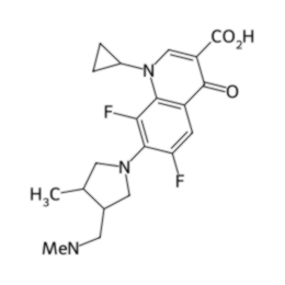 CNCC1CN(c2c(F)cc3c(=O)c(C(=O)O)cn(C4CC4)c3c2F)CC1C